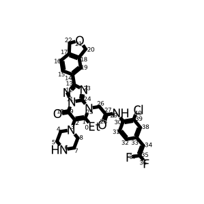 CCc1c(N2CCNCC2)c(=O)n2nc(-c3ccc4c(c3)COC4)nc2n1CC(=O)Nc1ccc(C=C(F)F)cc1Cl